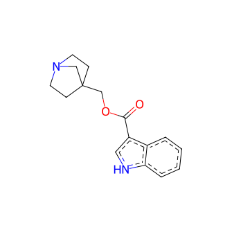 O=C(OCC12CCN(CC1)C2)c1c[nH]c2ccccc12